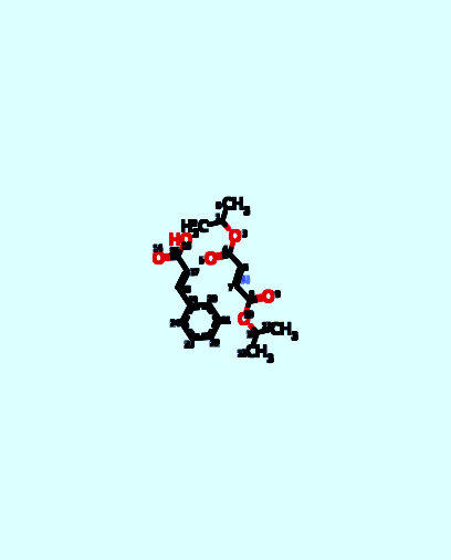 CC(C)OC(=O)/C=C/C(=O)OC(C)C.O=C(O)C=Cc1ccccc1